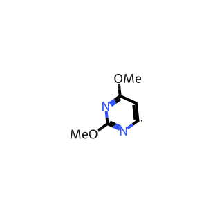 COc1c[c]nc(OC)n1